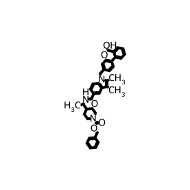 Cc1c(C)n(Cc2ccc(-c3ccccc3C(=O)O)cc2)c2ccc(C(=O)NC(C)C3CCN(C(=O)OCc4ccccc4)CC3)cc12